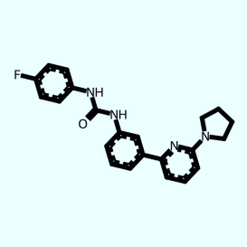 O=C(Nc1ccc(F)cc1)Nc1cccc(-c2cccc(N3CCCC3)n2)c1